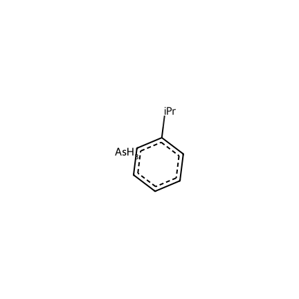 CC(C)c1ccccc1.[AsH3]